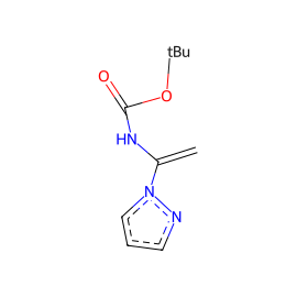 C=C(NC(=O)OC(C)(C)C)n1cccn1